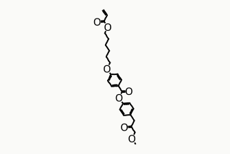 C=CC(=O)OCCCCCCOc1ccc(C(=O)Oc2ccc(CC(=O)COC)cc2)cc1